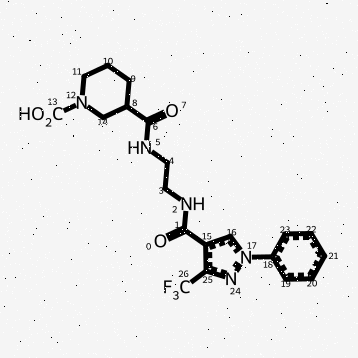 O=C(NCCNC(=O)C1CCCN(C(=O)O)C1)c1cn(-c2ccccc2)nc1C(F)(F)F